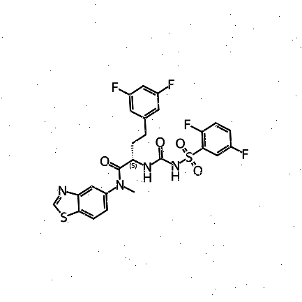 CN(C(=O)[C@H](CCc1cc(F)cc(F)c1)NC(=O)NS(=O)(=O)c1cc(F)ccc1F)c1ccc2scnc2c1